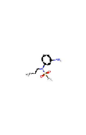 CCCN(c1cccc(N)c1)S(C)(=O)=O